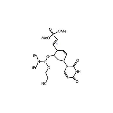 COP(=O)(/C=C/C1C=CC(n2ccc(=O)[nH]c2=O)CC1OP(OCCC#N)N(C(C)C)C(C)C)OC